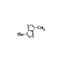 Cc1csc2c(C(C)(C)C)csc12